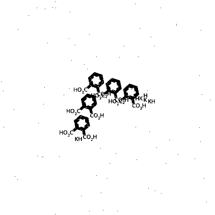 O=C(O)c1ccccc1C(=O)O.O=C(O)c1ccccc1C(=O)O.O=C(O)c1ccccc1C(=O)O.O=C(O)c1ccccc1C(=O)O.O=C(O)c1ccccc1C(=O)O.[KH].[KH].[KH].[KH]